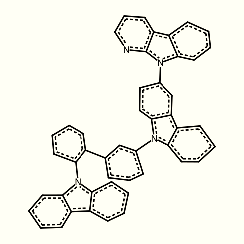 c1cc(-c2ccccc2-n2c3ccccc3c3ccccc32)cc(-n2c3ccccc3c3cc(-n4c5ccccc5c5cccnc54)ccc32)c1